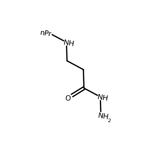 CCCNCCC(=O)NN